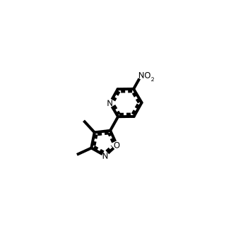 Cc1noc(-c2ccc([N+](=O)[O-])cn2)c1C